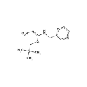 C[Si](C)(C)CNC(=C[N+](=O)[O-])NCc1cccnc1